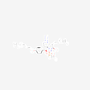 CCCCOc1ccc(C(=O)C23CCNC2C(CCC)C(=O)N3S(C)(=O)=O)cc1